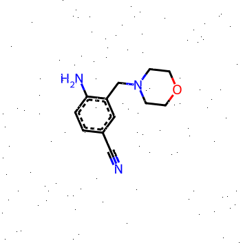 N#Cc1ccc(N)c(CN2CCOCC2)c1